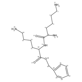 NCCCCC(N)C(=O)NC(CCCCN)C(=O)OCc1ccccc1